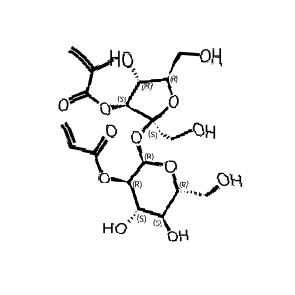 C=CC(=O)O[C@H]1[C@@H](O[C@]2(CO)O[C@H](CO)[C@@H](O)[C@@H]2OC(=O)C(=C)C)O[C@H](CO)[C@@H](O)[C@@H]1O